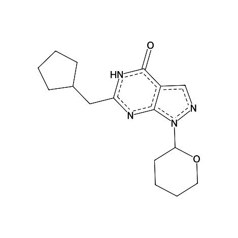 O=c1[nH]c(CC2CCCC2)nc2c1cnn2C1CCCCO1